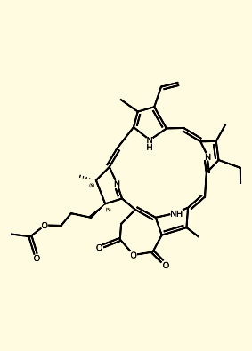 C=Cc1c(C)c2cc3nc(c4c5[nH]c(cc6nc(cc1[nH]2)C(C)=C6CC)c(C)c5C(=O)OC(=O)C4)[C@@H](CCCOC(C)=O)[C@@H]3C